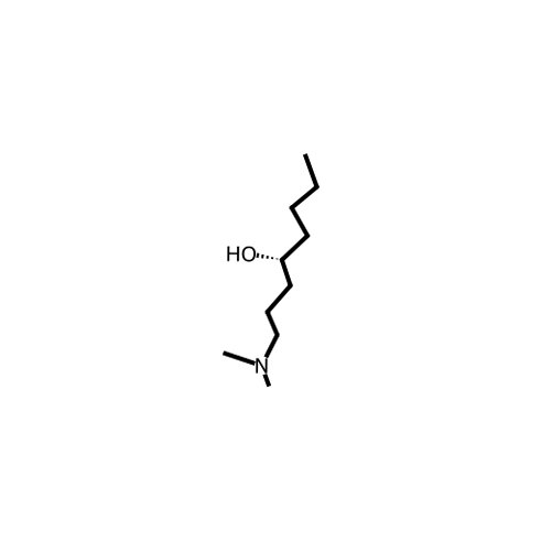 CCCC[C@@H](O)CCCN(C)C